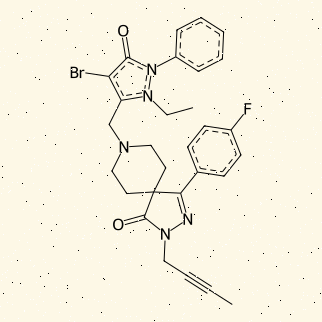 CC#CCN1N=C(c2ccc(F)cc2)C2(CCN(Cc3c(Br)c(=O)n(-c4ccccc4)n3CC)CC2)C1=O